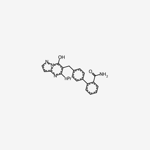 CCCc1nc2ccnn2c(O)c1Cc1ccc(-c2ccccc2C(N)=O)cc1